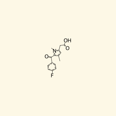 Cc1cc(CC(=O)O)n(C)c1C(=O)c1ccc(F)cc1